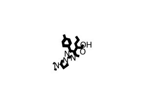 CCCC(C(=O)O)c1c(C)nc(N2CC[C@H](N(C)C)C2)nc1-c1ccc(C)cc1